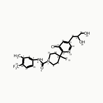 Cc1cc(NC(=O)N2CCC(F)(c3ncc(CC(O)CO)cc3Cl)CC2)ccc1C(F)(F)F